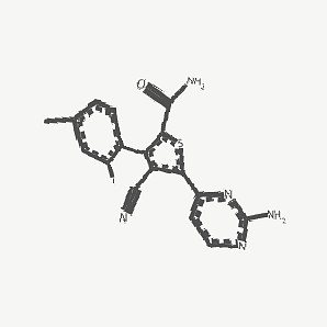 Cc1ccc(-c2c(C(N)=O)sc(-c3ccnc(N)n3)c2C#N)c(I)c1